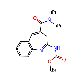 CCCN(CCC)C(=O)C1=Cc2ccccc2N=C(NC(=O)OC(C)(C)C)C1